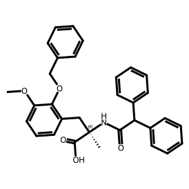 COc1cccc(C[C@@](C)(NC(=O)C(c2ccccc2)c2ccccc2)C(=O)O)c1OCc1ccccc1